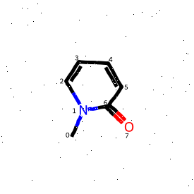 Cn1[c]cccc1=O